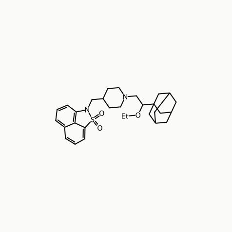 CCOC(CN1CCC(CN2c3cccc4cccc(c34)S2(=O)=O)CC1)C12CC3CC(CC(C3)C1)C2